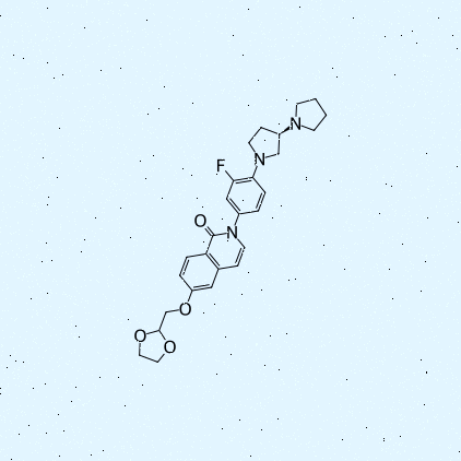 O=c1c2ccc(OCC3OCCO3)cc2ccn1-c1ccc(N2CC[C@@H](N3CCCC3)C2)c(F)c1